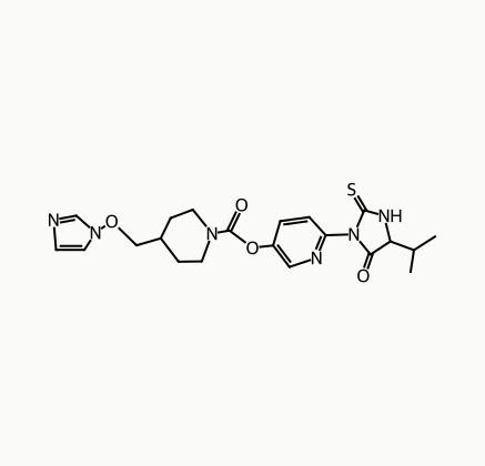 CC(C)C1NC(=S)N(c2ccc(OC(=O)N3CCC(COn4ccnc4)CC3)cn2)C1=O